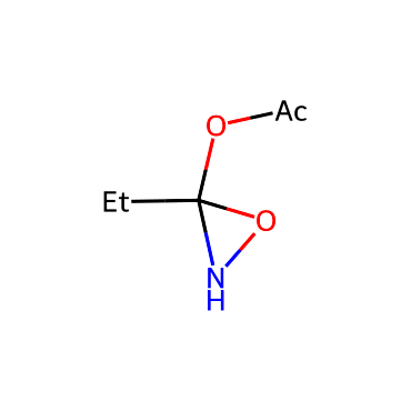 CCC1(OC(C)=O)NO1